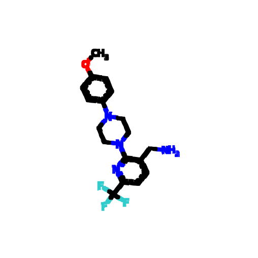 COc1ccc(N2CCN(c3nc(C(F)(F)F)ccc3CN)CC2)cc1